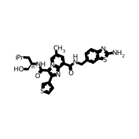 Cc1cc(C(=O)NCc2ccc3nc(N)sc3c2)c2nc(-c3ccsc3)c(C(=O)N[C@@H](CO)CC(C)C)n2c1